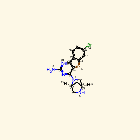 Nc1nc(N2C[C@@H]3C[C@H]2CN3)c2sc3cc(Br)ccc3c2n1